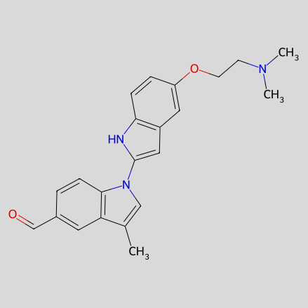 Cc1cn(-c2cc3cc(OCCN(C)C)ccc3[nH]2)c2ccc(C=O)cc12